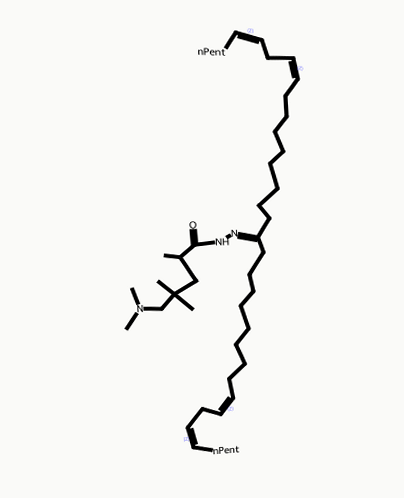 CCCCC/C=C\C/C=C\CCCCCCCCC(CCCCCCCC/C=C\C/C=C\CCCCC)=NNC(=O)C(C)CC(C)(C)CN(C)C